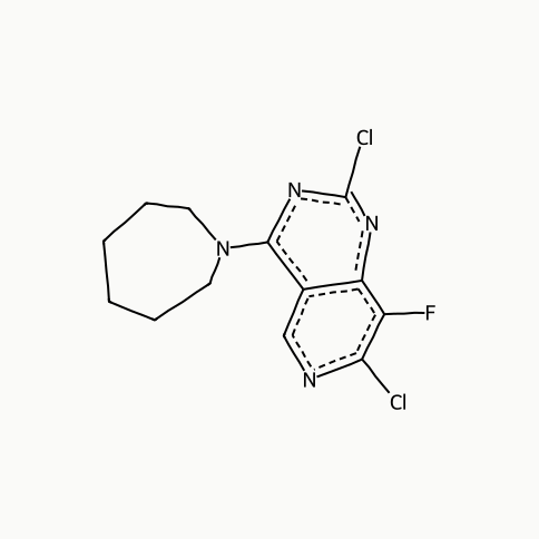 Fc1c(Cl)ncc2c(N3CCCCCC3)nc(Cl)nc12